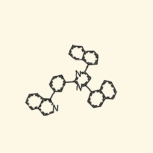 c1cc(-c2nc(-c3cccc4ccccc34)cc(-c3cccc4ccccc34)n2)cc(-c2nccc3ccccc23)c1